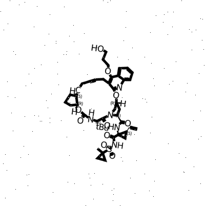 C=C[C@@H]1C[C@]1(NC(=O)[C@@H]1C[C@@H]2CN1C(=O)[C@H](C(C)(C)C)NC(=O)O[C@@H]1CCC[C@H]1CCC=CCc1c(nc3ccccc3c1OCCCO)O2)C(=O)NS(=O)(=O)C1(C)CC1